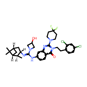 C[C@@H]1[C@@H](/N=C(/Nc2ccc3c(=O)n(CCc4ccc(Cl)cc4Cl)c(N4CCC(F)(F)CC4)nc3c2)N2CC(O)C2)C[C@@H]2C[C@H]1C2(C)C